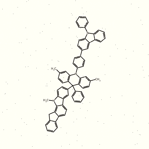 Cc1ccc2c(c1)N(c1ccc(-c3ccc4c(c3)c3ccccc3n4-c3ccccc3)cc1)c1cc(C)ccc1C2(c1ccccc1)c1ccc2c(c1)c1ccc3c(c1n2C)Cc1ccccc1-3